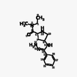 CCN(C)C(=O)C1CC(NC(=NN)c2ccccc2)CN1